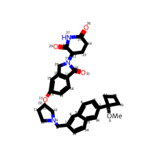 COC1(c2ccc3cc(CN4CC[C@H](Oc5ccc6c(c5)CN(C5CCC(=O)NC5=O)C6=O)C4)ccc3c2)CCC1